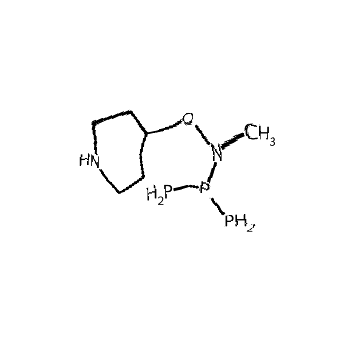 CN(OC1CCNCC1)P(P)P